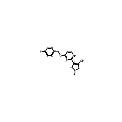 CN1CC(O)=C(c2nccc(OCc3ccc(F)cc3)n2)C1